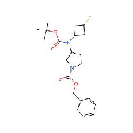 CC(C)(C)OC(=O)N(C1CC(F)C1)C1CCN(C(=O)OCc2ccccc2)C1